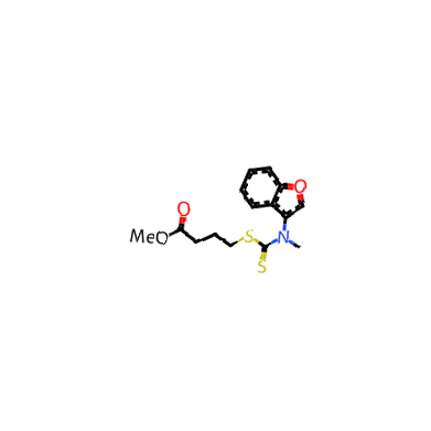 COC(=O)CCCSC(=S)N(C)c1coc2ccccc12